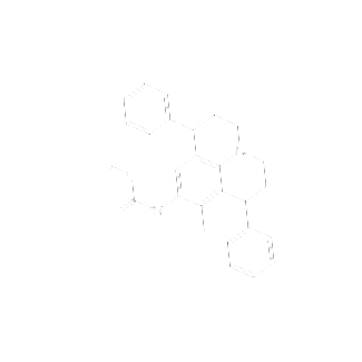 CCCCOC(=O)Nc1cc2c3c(c1C)C(c1ccccc1)CCN3CCC2c1ccccc1